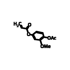 C=CC(=O)Oc1ccc(OC(C)=O)c(OC)c1